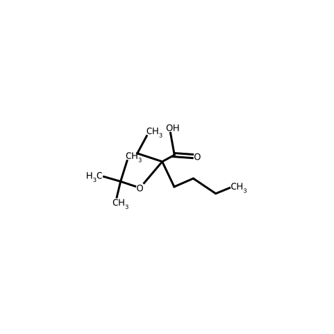 CCCCC(CC)(OC(C)(C)C)C(=O)O